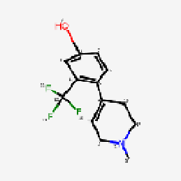 CN1CC=C(c2ccc(O)cc2C(F)(F)F)CC1